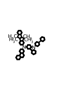 CC1(C)C2=C(c3ccccc31)C(C)(C)c1cc(N(c3ccc4c(ccc5ccccc54)c3)c3ccc4c(c3)c3ccccc3n4-c3ccc(-c4ccccc4)cc3)ccc12